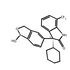 O=C1Nc2c(C(F)(F)F)cccc2[C@@]1(c1ccc2c(c1)COB2O)C1CCCCC1